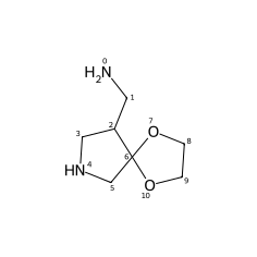 NCC1CNCC12OCCO2